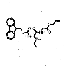 C=CCOC(=O)CNC(=O)[C@@H](NC(=O)OCC1c2ccccc2-c2ccccc21)[C@@H](C)CC